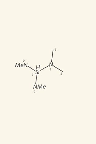 CN[SiH](NC)N(C)C